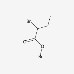 CCC(Br)C(=O)OBr